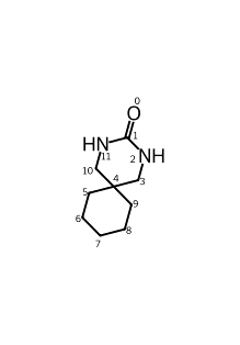 O=C1NCC2(CCCCC2)CN1